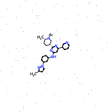 CC(=O)N1C[C@H](c2nc(Nc3cccc(-n4ccc(C)n4)c3)cc(-c3cccnc3)n2)CC[C@@H]1C